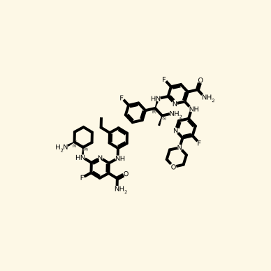 CCc1cccc(Nc2nc(N[C@@H]3CCCC[C@@H]3N)c(F)cc2C(N)=O)c1.C[C@H](N)[C@H](Nc1nc(Nc2cnc(N3CCOCC3)c(F)c2)c(C(N)=O)cc1F)c1cccc(F)c1